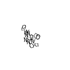 O=c1c2c(-n3cc(C4CCOC4)nn3)ncn2c2cccc(Cl)c2n1CC1CCCO1